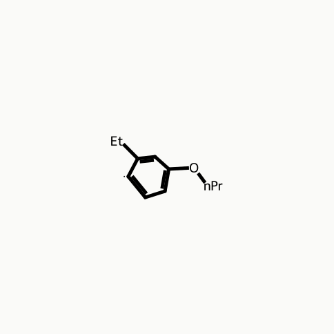 CCCOc1cc[c]c(CC)c1